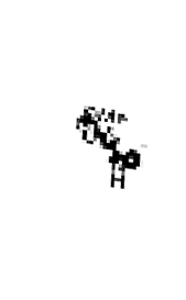 COC(=O)CC(=O)c1cc(-c2c[nH]c3ccc(F)cc23)cs1